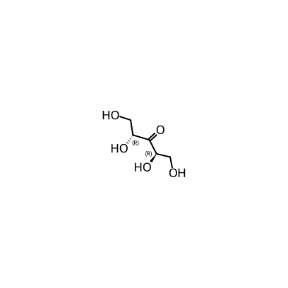 O=C([C@H](O)CO)[C@H](O)CO